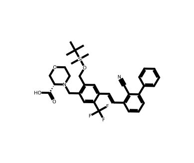 CC(C)(C)[Si](C)(C)OCc1cc(/C=C/c2cccc(-c3ccccc3)c2C#N)c(C(F)(F)F)cc1CN1CCOC[C@H]1C(=O)O